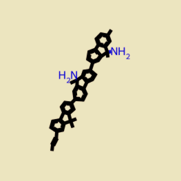 CC#Cc1ccc2c(c1)C(C)(C)c1cc(-c3ccc4c(c3)C(C)(N)c3cc(-c5ccc6c(c5)C(C)(N)c5cc(C)ccc5-6)ccc3-4)ccc1-2